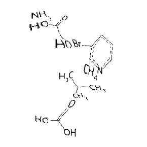 Brc1cccnc1.C.CC(C)C.N.O=C(O)O.O=C(O)O